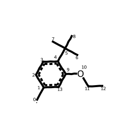 [CH2]c1ccc(C(C)(C)C)c(OCC)c1